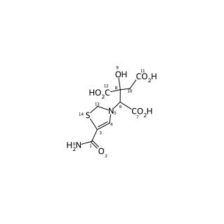 NC(=O)C1=CN(C(C(=O)O)C(O)(CC(=O)O)C(=O)O)CS1